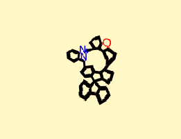 c1ccc2c(c1)-c1ccccc1C21c2ccc3cc2c2c1cccc2c1ccc2oc4cccc(c5nc6ccccc6c3n5)c4c2c1